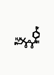 CC(C)CC(C)(N)C(=O)OC(=O)Nc1ccc(Br)cc1